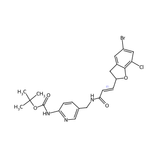 CC(C)(C)OC(=O)Nc1ccc(CNC(=O)/C=C/C2Cc3cc(Br)cc(Cl)c3O2)cn1